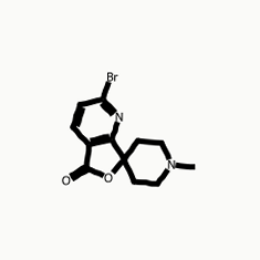 CN1CCC2(CC1)OC(=O)c1ccc(Br)nc12